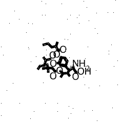 CCCC(C)C(=O)Oc1ccc(C(C(C)C(C)OC(=O)CC(C)(C)C)[C@H](N)C(=O)O)cc1OC(=O)C(C)CCC